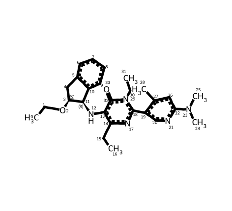 CCO[C@H]1Cc2ccccc2[C@H]1Nc1c(CC)nc(-c2cnc(N(C)C)cc2C)n(CC)c1=O